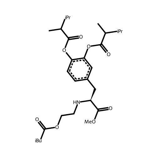 CCC(C)C(=O)OCCN[C@@H](Cc1ccc(OC(=O)C(C)C(C)C)c(OC(=O)C(C)C(C)C)c1)C(=O)OC